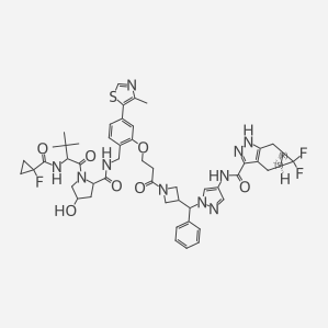 Cc1ncsc1-c1ccc(CNC(=O)C2CC(O)CN2C(=O)C(NC(=O)C2(F)CC2)C(C)(C)C)c(OCCC(=O)N2CC(C(c3ccccc3)n3cc(NC(=O)c4n[nH]c5c4C[C@@H]4C(F)(F)[C@]4(C)C5)cn3)C2)c1